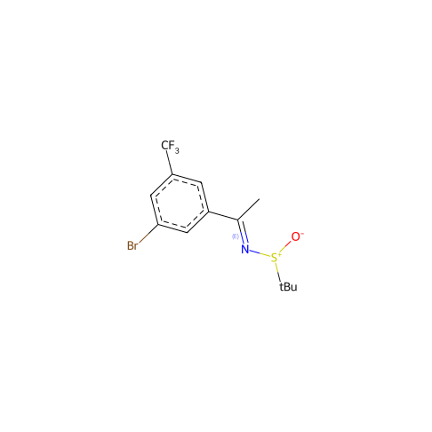 C/C(=N\[S+]([O-])C(C)(C)C)c1cc(Br)cc(C(F)(F)F)c1